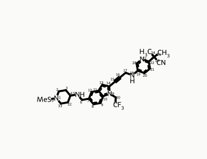 CSN1CCC(NCc2ccc3c(c2)cc(C#CCNc2ccc(C(C)(C)C#N)nc2)n3CC(F)(F)F)CC1